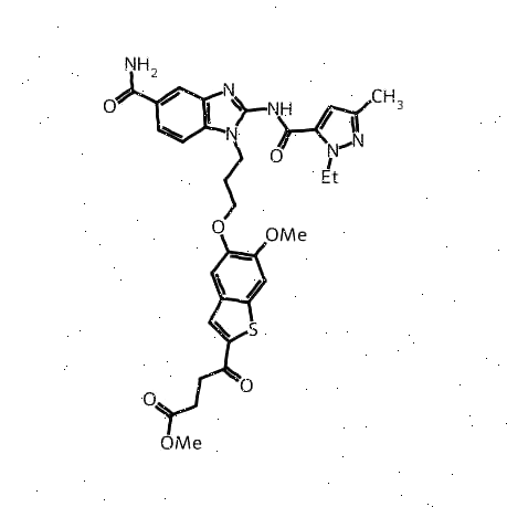 CCn1nc(C)cc1C(=O)Nc1nc2cc(C(N)=O)ccc2n1CCCOc1cc2cc(C(=O)CCC(=O)OC)sc2cc1OC